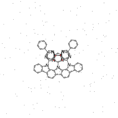 c1ccc(-c2nc(-c3ccccc3)nc(-n3c4ccccc4c4ccc5c6ccc7c8ccccc8n(-c8nc(-c9ccccc9)nc(-c9ccccc9)n8)c7c6n(-c6ccccc6)c5c43)n2)cc1